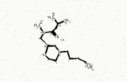 CCCCN1CCO[C@@H](CN(C)C(=O)C(C)C)C1